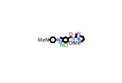 CNC1CCC(n2cc3cc(C(=O)Nc4cnc5cccnn45)c(OC)cc3n2)CC1.Cl